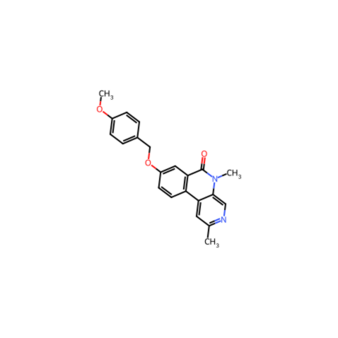 COc1ccc(COc2ccc3c(c2)c(=O)n(C)c2cnc(C)cc32)cc1